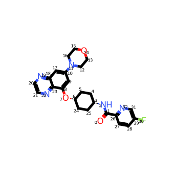 O=C(N[C@H]1CC[C@@H](Oc2cc(N3CCOCC3)cc3nccnc23)CC1)c1ccc(F)cn1